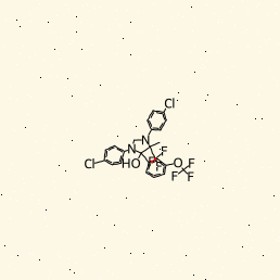 CC1(C(F)(F)F)N(c2ccc(Cl)cc2)CN(c2ccc(Cl)cc2)C1(O)c1cccc(OC(F)(F)F)c1